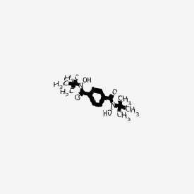 CC(C)(C)N(O)C(=O)c1ccc(C(=O)N(O)C(C)(C)C)cc1